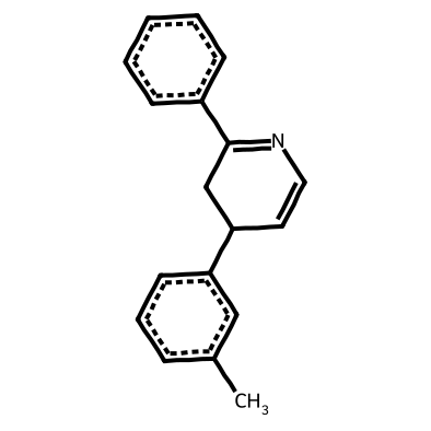 Cc1cccc(C2C=CN=C(c3ccccc3)C2)c1